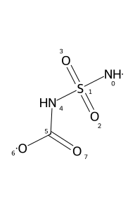 [NH]S(=O)(=O)NC([O])=O